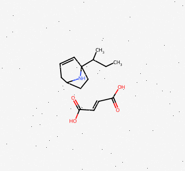 CCC(C)C12C=CCC(CC1)N2.O=C(O)C=CC(=O)O